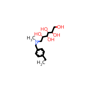 C=Cc1ccc(CN(C)C[C@H](O)[C@@H](O)[C@H](O)[C@H](O)CO)cc1